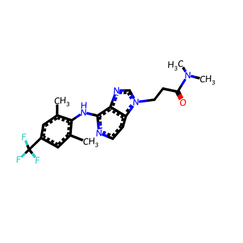 Cc1cc(C(F)(F)F)cc(C)c1Nc1nccc2c1ncn2CCC(=O)N(C)C